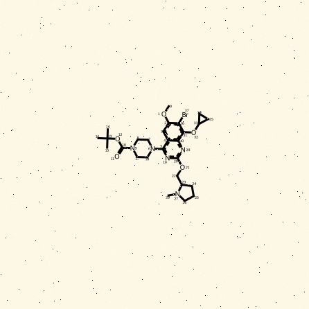 COc1cc2c(N3CCN(C(=O)OC(C)(C)C)CC3)nc(OCC3CCCN3C)nc2c(OC2CC2)c1Br